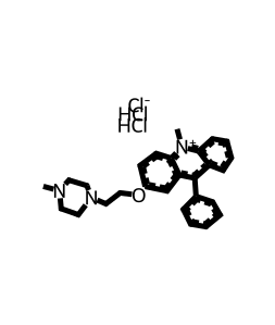 CN1CCN(CCOc2ccc3c(c2)c(-c2ccccc2)c2ccccc2[n+]3C)CC1.Cl.Cl.[Cl-]